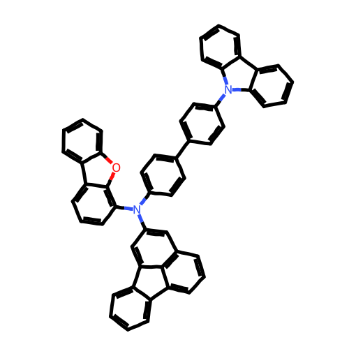 c1ccc2c(c1)-c1cccc3cc(N(c4ccc(-c5ccc(-n6c7ccccc7c7ccccc76)cc5)cc4)c4cccc5c4oc4ccccc45)cc-2c13